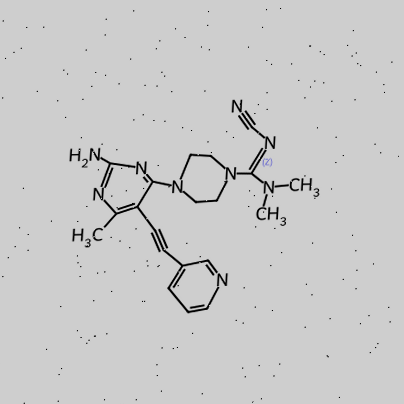 Cc1nc(N)nc(N2CCN(/C(=N\C#N)N(C)C)CC2)c1C#Cc1cccnc1